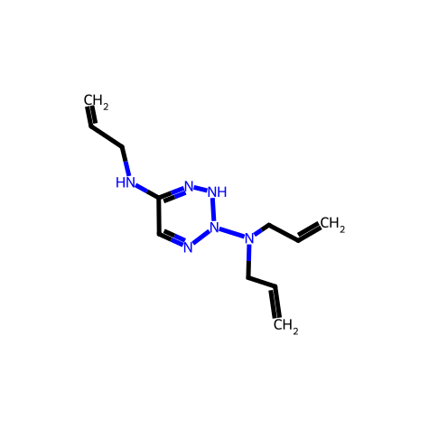 C=CCNC1=NNN(N(CC=C)CC=C)N=C1